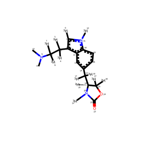 [2H]c1c(C([2H])([2H])C([2H])([2H])N(C)C)c2cc(C([2H])([2H])[C@]3([2H])N([2H])C(=O)OC3([2H])[2H])ccc2n1[2H]